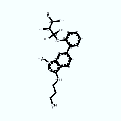 Cn1nc(NCCCO)c2ccc(-c3ccccc3OC(F)(F)C(F)C(F)F)cc21